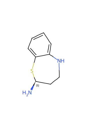 N[C@@H]1CCNc2ccccc2S1